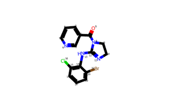 O=C(c1cccnc1)N1CCN=C1Nc1c(Cl)cccc1Br